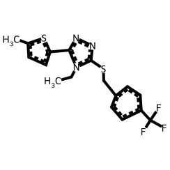 CCn1c(SCc2ccc(C(F)(F)F)cc2)nnc1-c1ccc(C)s1